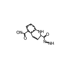 N=NC(=O)C1C=Cc2c(cccc2C(=O)N=O)N1